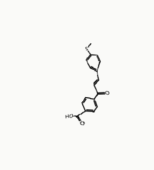 CSc1ccc(/C=C/C(=O)c2ccc(C(=O)O)cc2)cc1